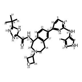 Cc1n[nH]cc1Nc1nccc(-c2ccc3c(c2)CCN(C2COC2)CC3NC(=O)c2nnc(C(C)(C)C)o2)n1